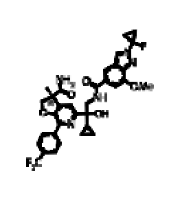 COc1cc(C(=O)NCC(O)(c2cc3c(c(-c4ccc(C(F)(F)F)cc4)n2)OC[C@]3(C)C(N)=O)C2CC2)cc2cn(C3(F)CC3)nc12